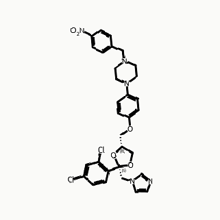 O=[N+]([O-])c1ccc(CN2CCN(c3ccc(OC[C@@H]4CO[C@@](Cn5ccnc5)(c5ccc(Cl)cc5Cl)O4)cc3)CC2)cc1